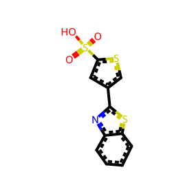 O=S(=O)(O)c1cc(-c2nc3ccccc3s2)cs1